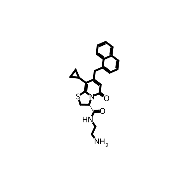 NCCNC(=O)[C@@H]1CSc2c(C3CC3)c(Cc3cccc4ccccc34)cc(=O)n21